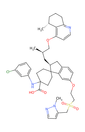 C[C@@H](COc1ccnc2c1[C@H](C)CCC2)C[C@H]1Cc2ccc(OCCS(=O)(=O)Cc3ccnn3C)cc2C12CCC(Nc1cccc(Cl)c1)(C(=O)O)CC2